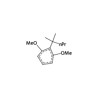 CCCC(C)(C)c1c(OC)cccc1OC